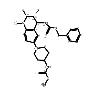 CC(=O)N1c2ccc(N3CCC(NC(=O)OC(C)(C)C)CC3)cc2C(NC(=O)OCc2ccccc2)[C@@H](C)[C@@H]1C